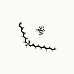 CCCCCCCCCC[N+](C)(C)CCCCCCCC.O=P([O-])(O)O